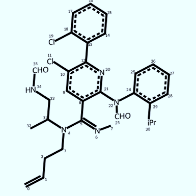 C=CCCN(/C(=N/C)c1cc(Cl)c(-c2ccccc2Cl)nc1N(C=O)c1ccccc1C(C)C)C(C)CNC=O